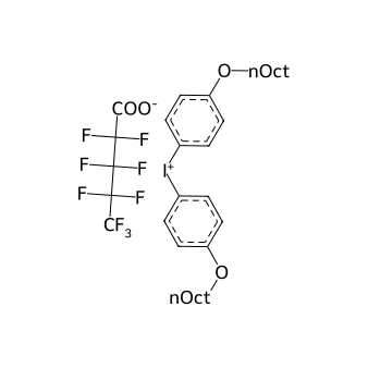 CCCCCCCCOc1ccc([I+]c2ccc(OCCCCCCCC)cc2)cc1.O=C([O-])C(F)(F)C(F)(F)C(F)(F)C(F)(F)F